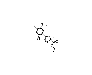 CCOC(=O)[C@]1(C)CC(c2cc(N)c(F)cc2Cl)=NO1